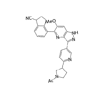 COc1cc2[nH]nc(-c3ccc(C4CCN(C(C)=O)C4)nc3)c2nc1-c1cccc2c1CCC2C#N